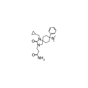 CN(C)C1(c2ccccc2)CCC2(CC1)CN(CCC(N)=O)C(=O)N2CC1CC1